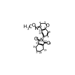 CON=C1CCOc2ccc(N3C(=O)C4=C(CCCC4)C3=O)cc21